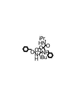 CC[C@H](C)[C@H](NC(=O)OCc1ccccc1)C(=O)N[C@@H](Cc1ccccc1)C(=O)C(=O)NCC(C)C